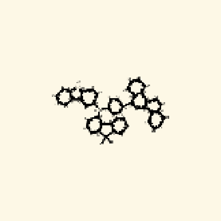 CC1(C)c2ccccc2-c2c(N(c3ccc(-c4cc5c6ccccc6ccc5c5ccccc45)cc3)c3ccc4oc5ccccc5c4c3)cccc21